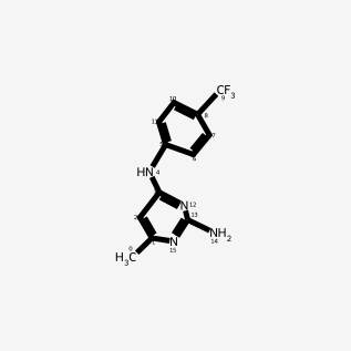 Cc1cc(Nc2ccc(C(F)(F)F)cc2)nc(N)n1